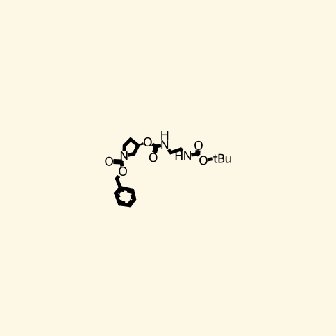 CC(C)(C)OC(=O)NCCNC(=O)O[C@@H]1CCN(C(=O)OCc2ccccc2)C1